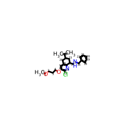 COCCCOc1cc2c(nc1Cl)C(CNCc1ccccc1)CC(C(C)C)C2